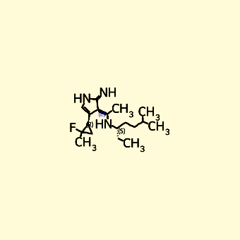 CC[C@@H](CCC(C)C)N/C(C)=C1/C(=N)NC=C1[C@H]1CC1(C)F